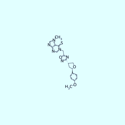 COc1ccc([C@H]2C[C@H](c3noc(Cn4cnc5ncn(C)c5c4=S)n3)CO2)cc1